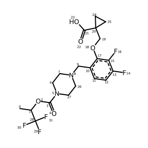 CC(OC(=O)N1CCN(Cc2ccc(F)c(F)c2OCC2(C(=O)O)CC2)CC1)C(F)(F)F